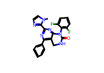 Cn1ccnc1-c1nc(-c2ccccc2)c2c(n1)N(c1c(F)cccc1F)C(=O)NC2